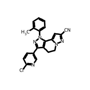 Cc1ccccc1-n1nc(-c2ccc(Cl)nc2)c2c1-c1cc(C#N)nn1CC2